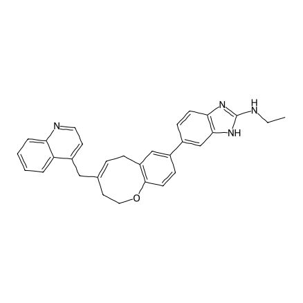 CCNc1nc2ccc(-c3ccc4c(c3)C/C=C(/Cc3ccnc5ccccc35)CCO4)cc2[nH]1